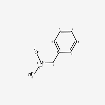 CCC[NH+]([O-])Cc1ccccc1